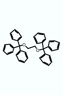 c1ccc(C(OCCOC(c2ccccc2)(c2ccccc2)c2ccccc2)(c2ccccc2)c2ccccc2)cc1